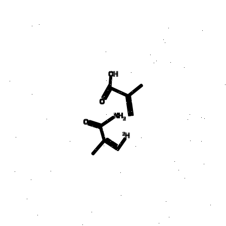 C=C(C)C(=O)O.[2H]C=C(C)C(N)=O